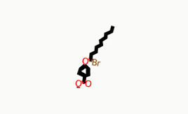 CCCCCCCCCC(Br)Oc1ccc(C(=O)OC)cc1